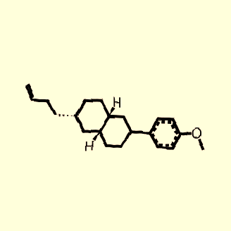 C=CCC[C@@H]1CC[C@@H]2CC(c3ccc(OC)cc3)CC[C@@H]2C1